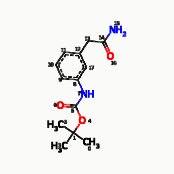 CC(C)(C)OC(=O)Nc1cccc(CC(N)=O)c1